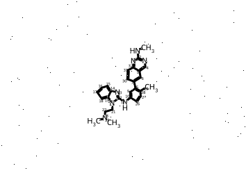 CNc1ncc2cc(-c3cc(Nc4nc5ccccc5n4CCN(C)C)ccc3C)ccc2n1